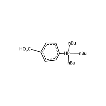 CCCC[PH](CCCC)(CCCC)c1ccc(C(=O)O)cc1